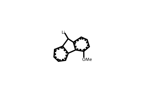 [Li][CH]1c2ccccc2-c2c(OC)cccc21